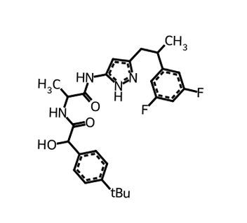 CC(NC(=O)C(O)c1ccc(C(C)(C)C)cc1)C(=O)Nc1cc(CC(C)c2cc(F)cc(F)c2)n[nH]1